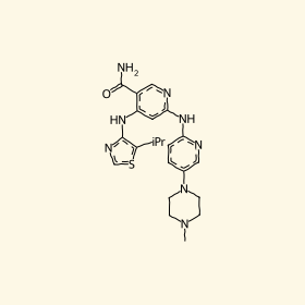 CC(C)c1scnc1Nc1cc(Nc2ccc(N3CCN(C)CC3)cn2)ncc1C(N)=O